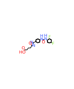 O=C(O)CCCc1nc(-c2ccc(NC(=O)Nc3ccc(F)cc3F)cc2)no1